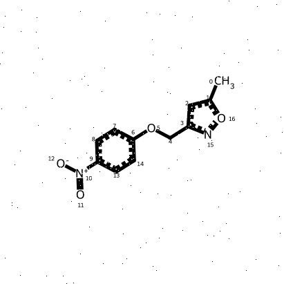 Cc1cc(COc2ccc([N+](=O)[O-])cc2)no1